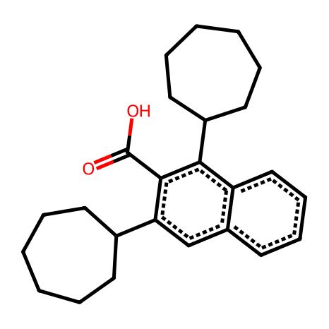 O=C(O)c1c(C2CCCCCC2)cc2ccccc2c1C1CCCCCC1